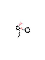 C=CCCc1cccc(OC)c1OCc1ccccc1